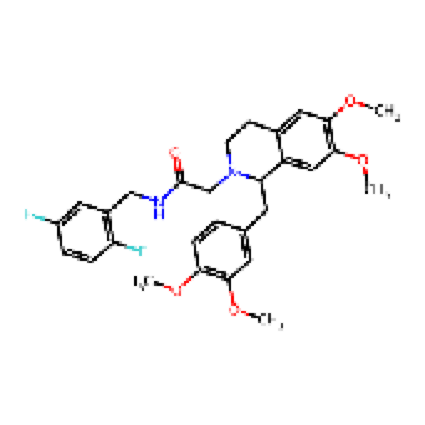 COc1ccc(CC2c3cc(OC)c(OC)cc3CCN2CC(=O)NCc2cc(F)ccc2F)cc1OC